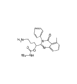 Cc1cccc2nc(C(CCCN)OC(=O)NC(C)(C)C)n(-c3ccccc3)c(=O)c12